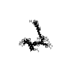 CC[C@@]1(O)C(=O)OCc2c1cc1n(c2=O)Cc2c-1nc1cc(F)c(C)cc1c2-c1ccc(NC(=O)C(CCCCN(C)C)NC(=O)C(NC(=O)CCCCCn2cc(-c3cnc(S(C)(=O)=O)nc3)nn2)C(C)C)cc1